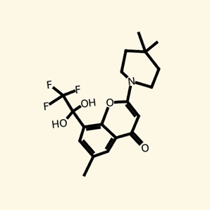 Cc1cc(C(O)(O)C(F)(F)F)c2oc(N3CCC(C)(C)CC3)cc(=O)c2c1